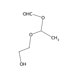 CC(O[C]=O)OCCO